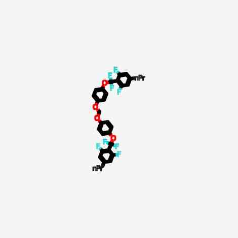 CCCc1cc(F)c(C(F)(F)Oc2ccc(OCOc3ccc(OC(F)(F)c4c(F)cc(CCC)cc4F)cc3)cc2)c(F)c1